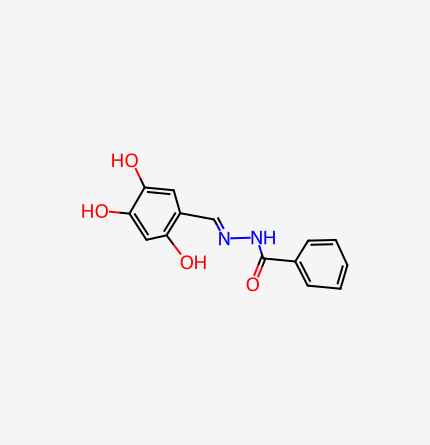 O=C(NN=Cc1cc(O)c(O)cc1O)c1ccccc1